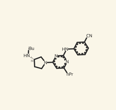 CCCc1cc(N2CC[C@H](NC(C)CC)C2)nc(Nc2cccc(C#N)c2)n1